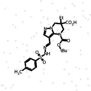 CCC1(C(=O)O)CN(C(=O)OC(C)(C)C)c2c(C=NNS(=O)(=O)c3ccc(C)cc3)cnn2C1